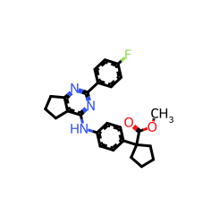 COC(=O)C1(c2ccc(Nc3nc(-c4ccc(F)cc4)nc4c3CCC4)cc2)CCCC1